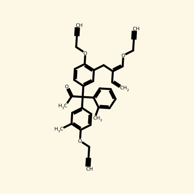 C#CCO/C=C(/C=C)Cc1cc(C(C(C)=O)(c2ccc(OCC#C)c(C)c2)c2ccccc2C)ccc1OCC#C